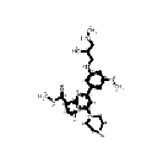 CNCC(O)COc1cc(OC)cc(-c2cc(N3CCOCC3)n3ncc(C(=O)OC)c3n2)c1